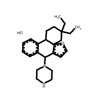 CCC1(CC)CCC(c2ccccc2C(c2ccoc2)N2CCNCC2)CC1.Cl